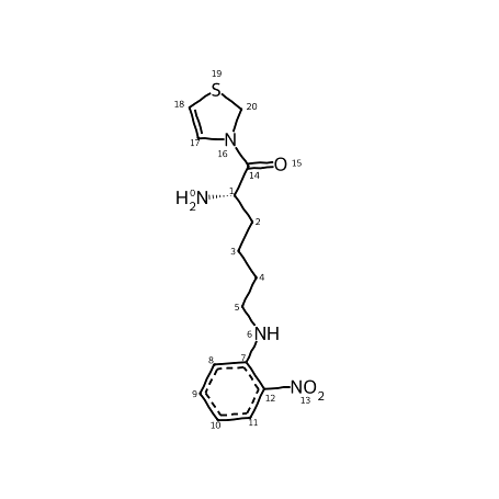 N[C@@H](CCCCNc1ccccc1[N+](=O)[O-])C(=O)N1C=CSC1